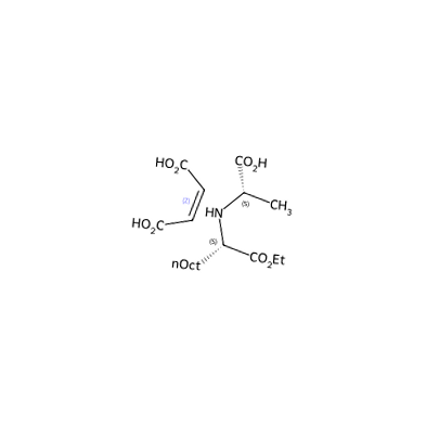 CCCCCCCC[C@H](N[C@@H](C)C(=O)O)C(=O)OCC.O=C(O)/C=C\C(=O)O